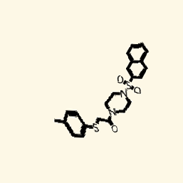 Cc1ccc(SCC(=O)N2CCN(S(=O)(=O)c3ccc4ccccc4c3)CC2)cc1